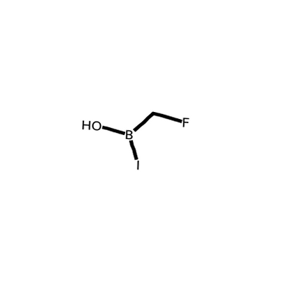 OB(I)CF